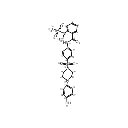 CN(c1ccccc1C(=O)Nc1ccc(S(=O)(=O)N2CCN(c3ccc(O)cc3)CC2)cc1)S(C)(=O)=O